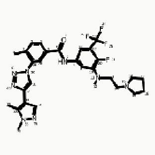 Cc1ccc(C(=O)Nc2cc(N(C)CCN3CCCC3)c(F)c(C(F)(F)F)c2)cc1-n1cc(-c2cnn(C)c2C)nn1